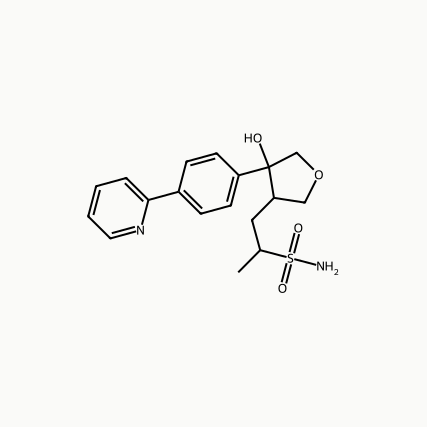 CC(CC1COCC1(O)c1ccc(-c2ccccn2)cc1)S(N)(=O)=O